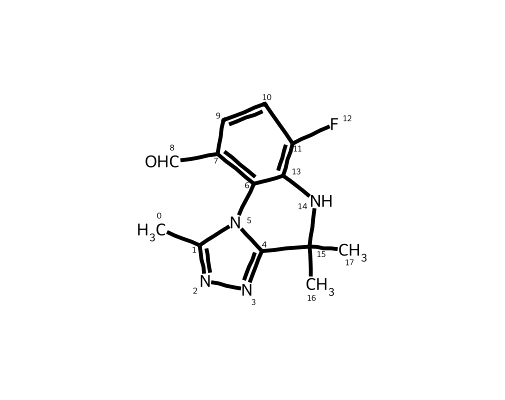 Cc1nnc2n1-c1c(C=O)ccc(F)c1NC2(C)C